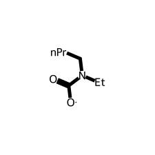 CCCCN(CC)C([O])=O